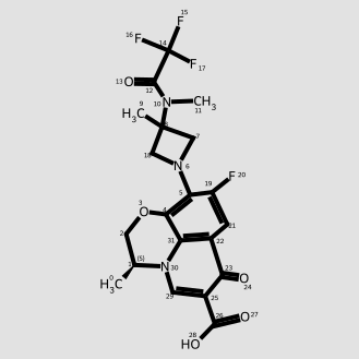 C[C@H]1COc2c(N3CC(C)(N(C)C(=O)C(F)(F)F)C3)c(F)cc3c(=O)c(C(=O)O)cn1c23